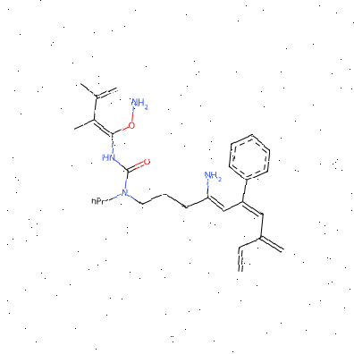 C=CC(=C)/C=C(\C=C(/N)CCCN(CCC)C(=O)N/C(ON)=C(\C)C(=C)C)c1ccccc1